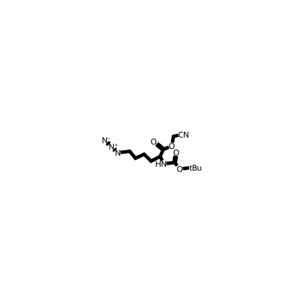 CC(C)(C)OC(=O)NC(CCCCN=[N+]=[N-])C(=O)OCC#N